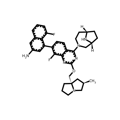 C[C@H]1CN2CCC[C@@]2(COc2nc(N3CC[C@@H]4CC[C@H](C3)N4)c3ccc(-c4cc(N)cc5cccc(F)c45)c(F)c3n2)C1